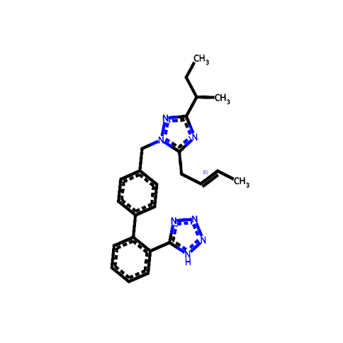 C/C=C/Cc1nc(C(C)CC)nn1Cc1ccc(-c2ccccc2-c2nnn[nH]2)cc1